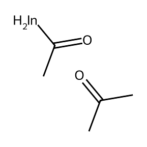 CC(C)=O.C[C](=O)[InH2]